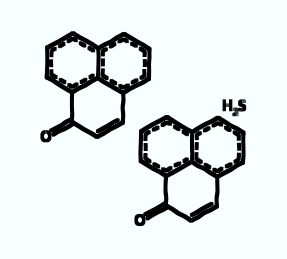 O=C1C=Cc2cccc3cccc1c23.O=C1C=Cc2cccc3cccc1c23.S